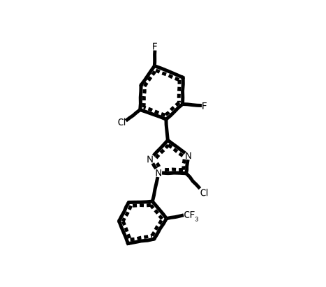 Fc1cc(F)c(-c2nc(Cl)n(-c3ccccc3C(F)(F)F)n2)c(Cl)c1